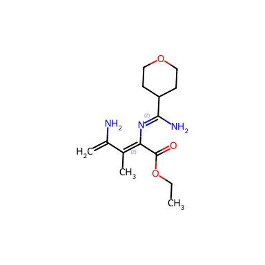 C=C(N)/C(C)=C(\N=C(/N)C1CCOCC1)C(=O)OCC